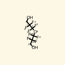 OCC(F)(F)C(F)(F)OC(F)(F)C(F)(F)CO